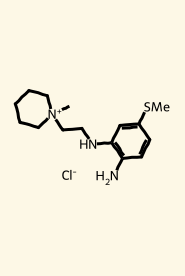 CSc1ccc(N)c(NCC[N+]2(C)CCCCC2)c1.[Cl-]